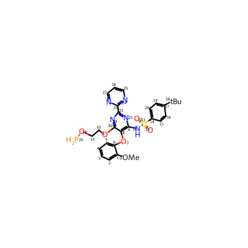 COc1ccccc1Oc1c(NS(=O)(=O)c2ccc(C(C)(C)C)cc2)nc(-c2ncccn2)nc1OCCOP